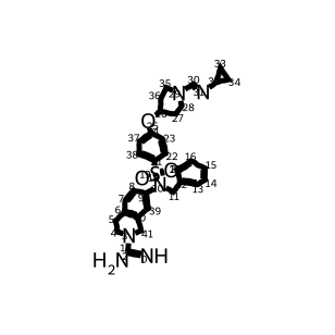 N=C(N)N1CCc2ccc(N(Cc3ccccc3)S(=O)(=O)c3ccc(OC4CCN(C=NC5CC5)CC4)cc3)cc2C1